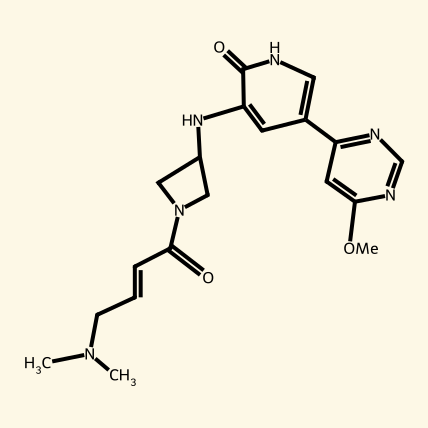 COc1cc(-c2c[nH]c(=O)c(NC3CN(C(=O)C=CCN(C)C)C3)c2)ncn1